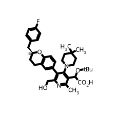 Cc1nc(CO)c(-c2ccc3c(c2)CC[C@@H](Cc2ccc(F)cc2)O3)c(N2CCC(C)(C)CC2)c1C(OC(C)(C)C)C(=O)O